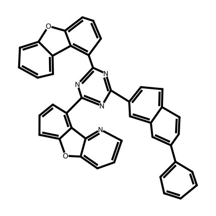 c1ccc(-c2ccc3ccc(-c4nc(-c5cccc6oc7ccccc7c56)nc(-c5cccc6oc7cccnc7c56)n4)cc3c2)cc1